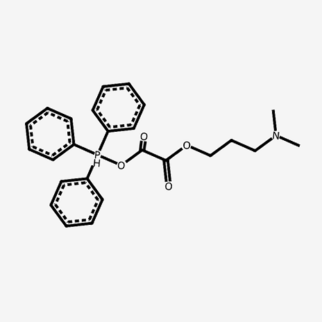 CN(C)CCCOC(=O)C(=O)O[PH](c1ccccc1)(c1ccccc1)c1ccccc1